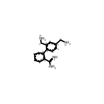 N=C(N)c1ccccc1-c1ccc(CN)cc1CN